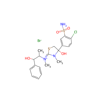 CC(C(O)c1ccccc1)[N+](C)=C1SCC(O)(c2ccc(Cl)c(S(N)(=O)=O)c2)N1C.[Br-]